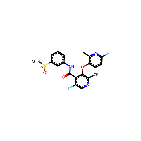 CN[S@+]([O-])c1cccc(NC(=O)c2c(F)cnc(C(F)(F)F)c2Oc2ccc(F)nc2C)c1